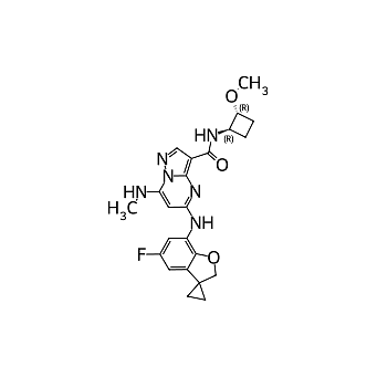 CNc1cc(Nc2cc(F)cc3c2OCC32CC2)nc2c(C(=O)N[C@@H]3CC[C@H]3OC)cnn12